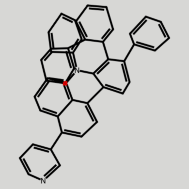 c1ccc(-c2ccccc2-c2c(-c3ccccc3)ccc3c2N(c2ccccc2)c2cccc4c(-c5cccnc5)ccc-3c24)cc1